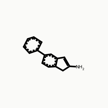 NC1=Cc2cc(-c3ccccc3)ccc2C1